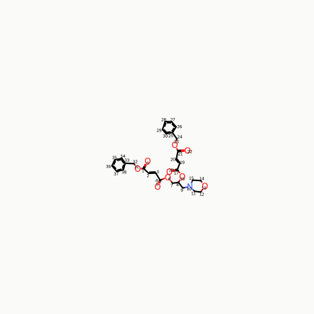 O=C(/C=C/C(=O)OCC(CN1CCOCC1)OC(=O)/C=C/C(=O)OCc1ccccc1)OCc1ccccc1